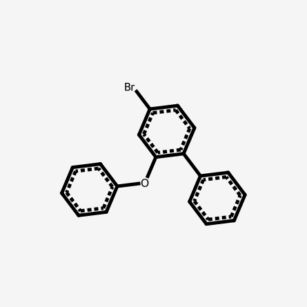 Brc1ccc(-c2ccccc2)c(Oc2ccccc2)c1